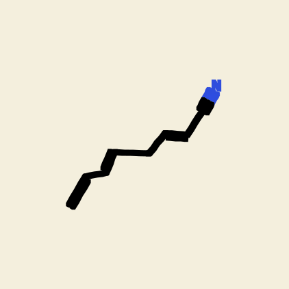 C=CC=CCC=CC#N